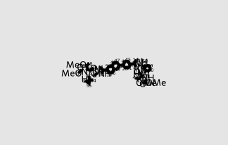 COC(=O)N[C@H](C(=O)N(Cc1ncc(-c2ccc3cc(-c4ccc(-c5cnc([C@@H]6[C@H]7CC[C@H](C7)N6C(=O)[C@@H](NC(=O)OC)C(C)OC)[nH]5)cc4)ccc3c2)[nH]1)CC1(C)CC1)C(C)OC